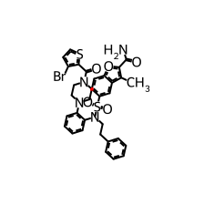 Cc1c(C(N)=O)oc2ccc(S(=O)(=O)N(CCc3ccccc3)c3ccccc3N3CCN(C(=O)c4sccc4Br)CC3)cc12